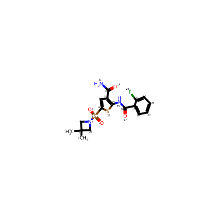 CC1(C)CN(S(=O)(=O)c2cc(C(N)=O)c(NC(=O)c3ccccc3F)s2)C1